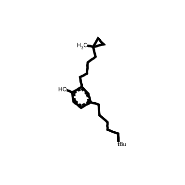 CC(C)(C)CCCCCc1ccc(O)c(CCCCC2(C)CC2)c1